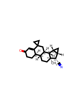 C[C@]12CC[C@H]3[C@@H](CC4(CC4)C4=CC(=O)CC[C@@H]43)[C@@H]1[C@@H]1C[C@@H]1[C@@H]2C#N